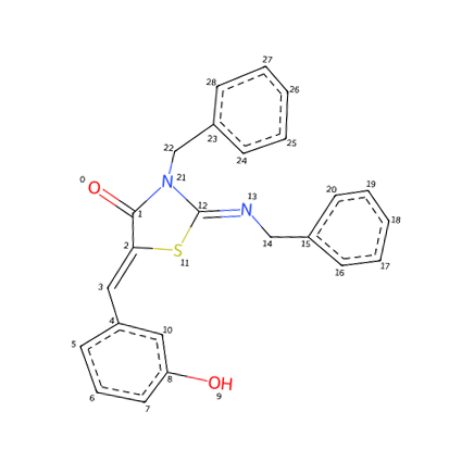 O=C1C(=Cc2cccc(O)c2)SC(=NCc2ccccc2)N1Cc1ccccc1